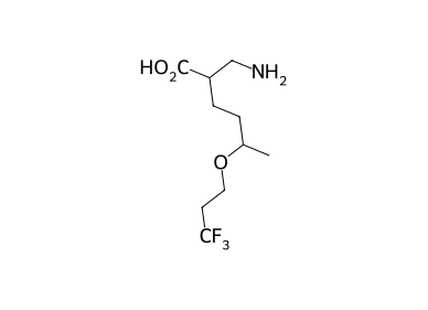 CC(CCC(CN)C(=O)O)OCCC(F)(F)F